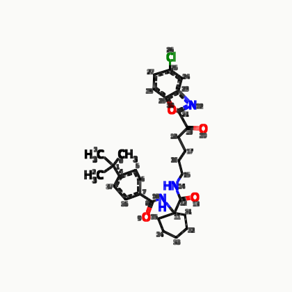 CC(C)(C)c1ccc(C(=O)NC2(C(=O)NCCCCC(=O)c3nc4cc(Cl)ccc4o3)CCCCC2)cc1